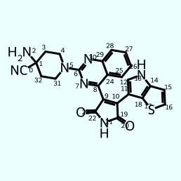 N#CC1(N)CCN(c2nc(C3=C(c4c[nH]c5ccsc45)C(=O)NC3=O)c3ccccc3n2)CC1